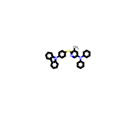 Cc1cc(N(c2ccccc2)c2ccccc2)cnc1Sc1ccc(-n2c3ccccc3c3ccccc32)cc1